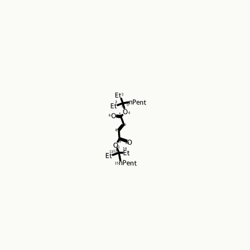 CCCCCC(CC)(CC)OC(=O)/C=C/C(=O)OC(CC)(CC)CCCCC